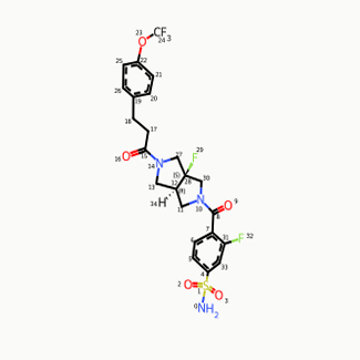 NS(=O)(=O)c1ccc(C(=O)N2C[C@H]3CN(C(=O)CCc4ccc(OC(F)(F)F)cc4)C[C@]3(F)C2)c(F)c1